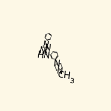 CN1CCN(c2cccc(Nc3ncn(-c4ccccc4)n3)c2)CC1